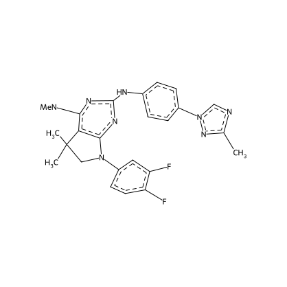 CNc1nc(Nc2ccc(-n3cnc(C)n3)cc2)nc2c1C(C)(C)CN2c1ccc(F)c(F)c1